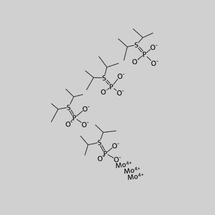 CC(C)S(C(C)C)=P([O-])([O-])[O-].CC(C)S(C(C)C)=P([O-])([O-])[O-].CC(C)S(C(C)C)=P([O-])([O-])[O-].CC(C)S(C(C)C)=P([O-])([O-])[O-].[Mo+4].[Mo+4].[Mo+4]